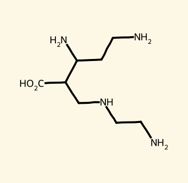 NCCNCC(C(=O)O)C(N)CCN